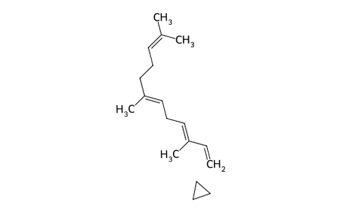 C1CC1.C=C/C(C)=C/C/C=C(\C)CCC=C(C)C